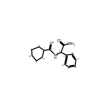 NC(=O)C(NC(=O)C1CCCCC1)c1ccccc1